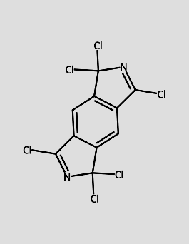 ClC1=NC(Cl)(Cl)c2cc3c(cc21)C(Cl)(Cl)N=C3Cl